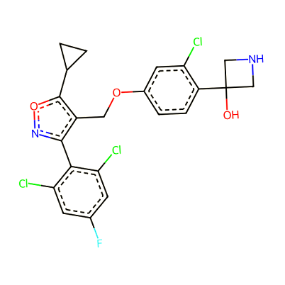 OC1(c2ccc(OCc3c(-c4c(Cl)cc(F)cc4Cl)noc3C3CC3)cc2Cl)CNC1